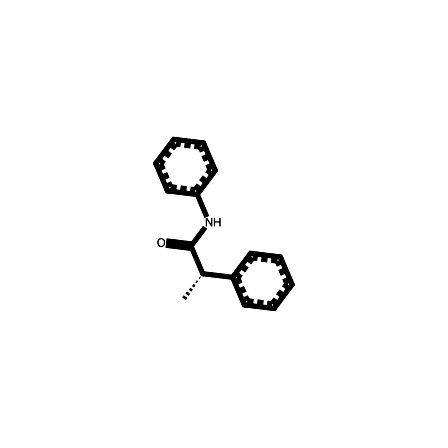 C[C@H](C(=O)Nc1ccccc1)c1ccccc1